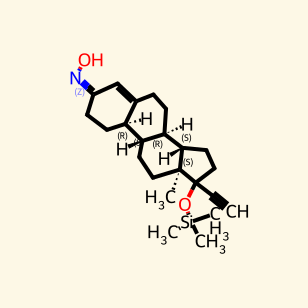 C#CC1(O[Si](C)(C)C)CC[C@H]2[C@@H]3CCC4=C/C(=N\O)CC[C@@H]4[C@H]3CC[C@@]21C